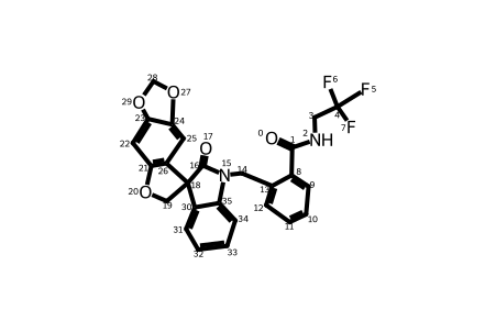 O=C(NCC(F)(F)F)c1ccccc1CN1C(=O)C2(COc3cc4c(cc32)OCO4)c2ccccc21